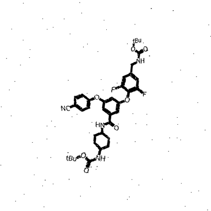 CC(C)(C)OC(=O)NCc1cc(F)c(Oc2cc(Oc3ccc(C#N)cc3)cc(C(=O)NC3CCC(NC(=O)OC(C)(C)C)CC3)c2)c(F)c1